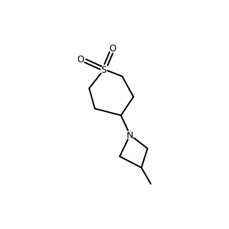 CC1CN(C2CCS(=O)(=O)CC2)C1